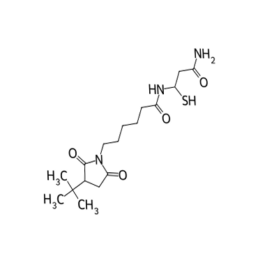 CC(C)(C)C1CC(=O)N(CCCCCC(=O)NC(S)CC(N)=O)C1=O